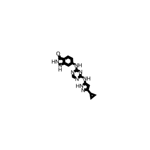 O=c1[nH][nH]c2cc(Nc3ncnc(Nc4cc(C5CC5)n[nH]4)n3)ccc12